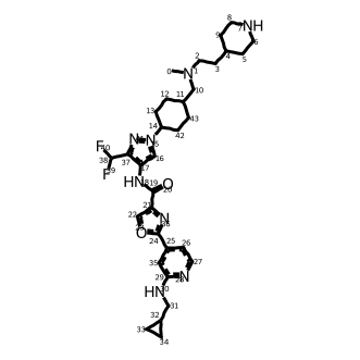 CN(CCC1CCNCC1)CC1CCC(n2cc(NC(=O)c3coc(-c4ccnc(NCC5CC5)c4)n3)c(C(F)F)n2)CC1